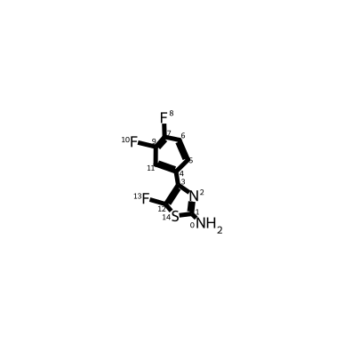 Nc1nc(-c2ccc(F)c(F)c2)c(F)s1